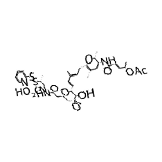 CC(=O)O[C@@H](C)C=CC(=O)N[C@@H]1C[C@H](C)[C@H](CC=C(C)C=C[C@H]2O[C@H](CC(=O)NN(C[C@@H](C)SSc3ccccn3)C(=O)O)C[C@@]3(CO3)[C@@H]2O)O[C@@H]1C